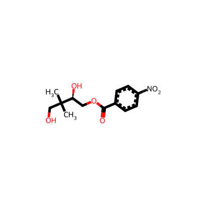 CC(C)(CO)[C@@H](O)COC(=O)c1ccc([N+](=O)[O-])cc1